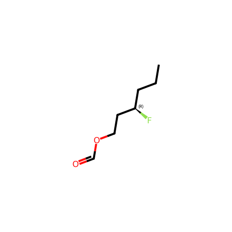 CCC[C@@H](F)CCOC=O